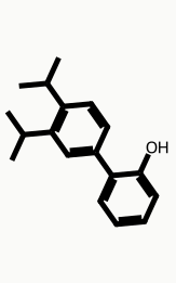 CC(C)c1ccc(-c2ccccc2O)cc1C(C)C